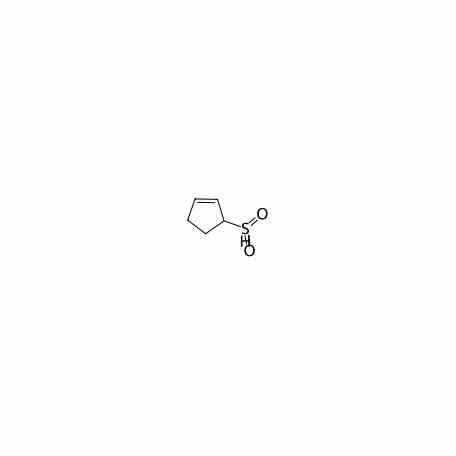 O=[SH](=O)C1C=CCC1